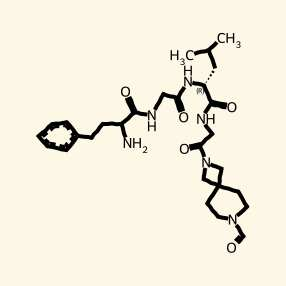 CC(C)C[C@@H](NC(=O)CNC(=O)C(N)CCc1ccccc1)C(=O)NCC(=O)N1CC2(CCN(C=O)CC2)C1